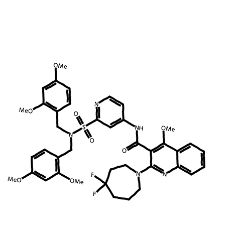 COc1ccc(CN(Cc2ccc(OC)cc2OC)S(=O)(=O)c2cc(NC(=O)c3c(N4CCCC(F)(F)CC4)nc4ccccc4c3OC)ccn2)c(OC)c1